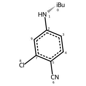 CC[C@@H](C)Nc1ccc(C#N)c(Cl)c1